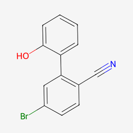 N#Cc1ccc(Br)cc1-c1ccccc1O